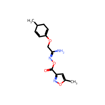 Cc1cc(C(=O)O/N=C(\N)COC2=CCC(C)C=C2)no1